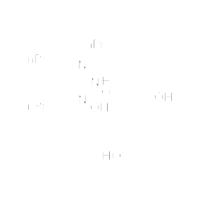 CCCc1nnn(CCC)c1CCC.OCC(CO)(CO)CO